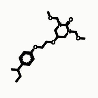 CCC(C)c1ccc(OCCOC2CN(COC)C(=O)N(COC)C2)cc1